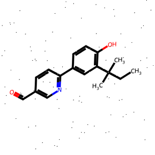 CCC(C)(C)c1cc(-c2ccc(C=O)cn2)ccc1O